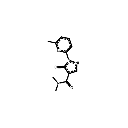 Cc1cccc(-n2[nH]cc(C(=O)N(C)C)c2=O)n1